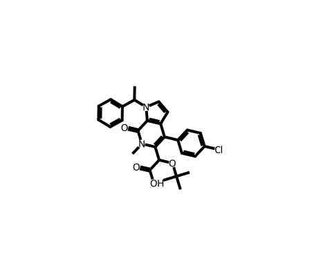 CC(c1ccccc1)n1ccc2c(-c3ccc(Cl)cc3)c(C(OC(C)(C)C)C(=O)O)n(C)c(=O)c21